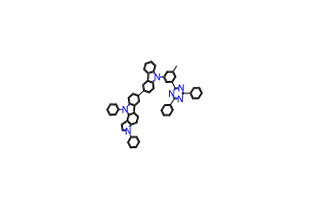 Cc1cc(-c2nc(-c3ccccc3)nc(-c3ccccc3)n2)cc(-n2c3ccccc3c3cc(-c4ccc5c(c4)c4ccc6c(ccn6-c6ccccc6)c4n5-c4ccccc4)ccc32)c1